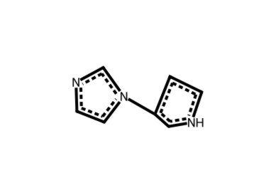 c1cn(-c2cc[nH]c2)cn1